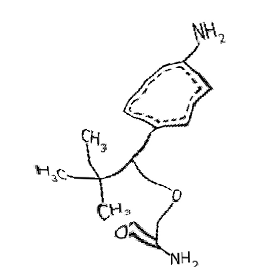 CC(C)(C)C(OC(N)=O)c1ccc(N)cc1